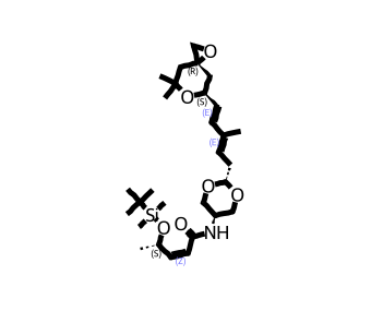 CC(/C=C/[C@@H]1C[C@]2(CO2)CC(C)(C)O1)=C\C[C@H]1OC[C@@H](NC(=O)/C=C\[C@H](C)O[Si](C)(C)C(C)(C)C)CO1